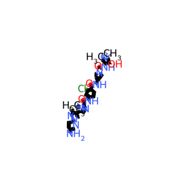 Cn1c(-c2cn(-c3ccc(N)cn3)nc2C(F)(F)F)cnc1C(=O)Nc1ccc(C(=O)NC2C3CN(C(=O)N[C@@H]4C[N+](C)(C)C[C@H]4O)CC32)c(Cl)c1